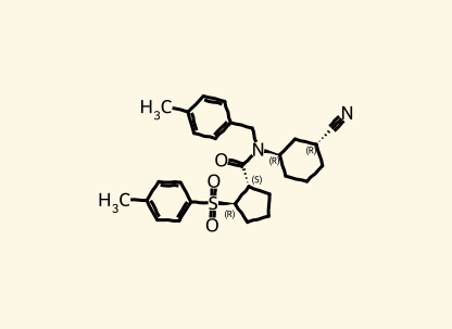 Cc1ccc(CN(C(=O)[C@@H]2CCC[C@H]2S(=O)(=O)c2ccc(C)cc2)[C@@H]2CCC[C@@H](C#N)C2)cc1